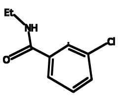 CCNC(=O)c1[c]c(Cl)ccc1